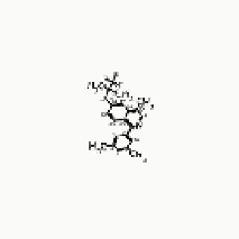 Cc1cc(C)cc(-c2ncc(C)c3cc(CC(C)(C)C(F)(F)F)ccc23)c1